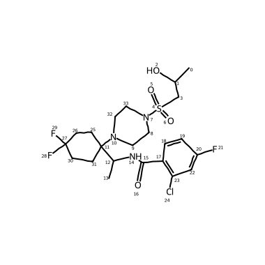 CC(O)CS(=O)(=O)N1CCN(C2(C(C)NC(=O)c3ccc(F)cc3Cl)CCC(F)(F)CC2)CC1